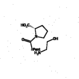 CCCCCC(=O)N1CCC[C@H]1C(=O)O.NCCO